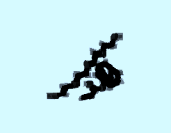 C=CC(=O)OC12CC3CC(CC(C3)C1)C2.OCCOCCOCCOCCO